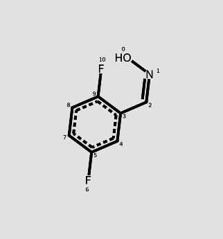 O/N=C\c1cc(F)ccc1F